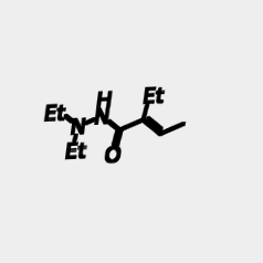 C/C=C(\CC)C(=O)NN(CC)CC